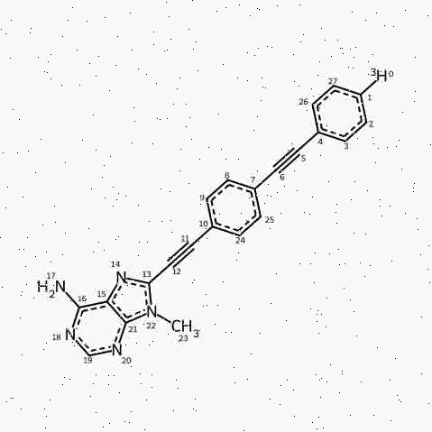 [3H]c1ccc(C#Cc2ccc(C#Cc3nc4c(N)ncnc4n3C)cc2)cc1